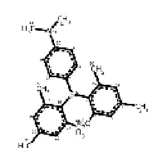 Cc1cc(C)c(B(c2ccc(N(C)C)cc2)c2c(C)cc(C)cc2C)c(C)c1